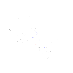 COc1cc(-c2nc(NC(=O)c3cc4ccccc4n3Cc3ccc(C)cc3)ncc2CCC2CCCCC2)c(OC)cc1C